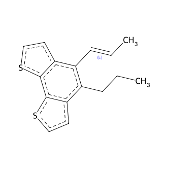 C/C=C/c1c(CCC)c2ccsc2c2sccc12